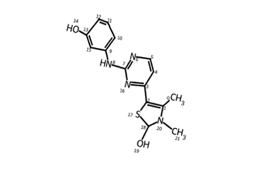 CC1=C(c2ccnc(Nc3cccc(O)c3)n2)SC(O)N1C